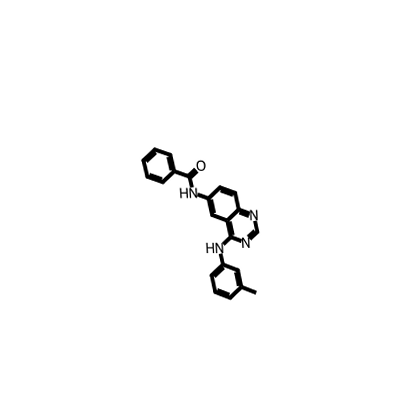 Cc1cccc(Nc2ncnc3ccc(NC(=O)c4ccccc4)cc23)c1